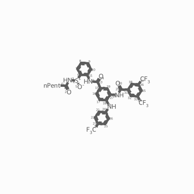 CCCCCC(=O)N[S+]([O-])c1ccccc1NC(=O)c1ccc(Nc2ccc(C(F)(F)F)cc2)c(NC(=O)c2cc(C(F)(F)F)cc(C(F)(F)F)c2)c1